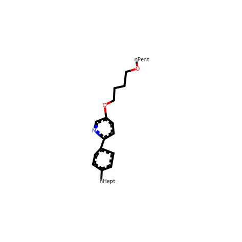 CCCCCCCc1ccc(-c2ccc(OCCCCOCCCCC)cn2)cc1